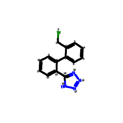 BrCc1ccccc1-c1ccccc1-c1nnn[nH]1